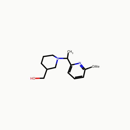 COc1cccc(C(C)N2CCCC(CO)C2)n1